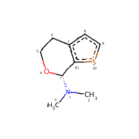 CN(C)[C@@H]1OCCc2ccsc21